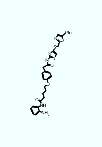 CC(C)(C)c1cnc(CSc2cnc(NC(=O)Cc3ccc(OCCCCC(=O)Nc4ccccc4N)cc3)s2)o1